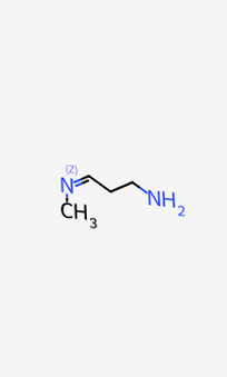 C/N=C\CCN